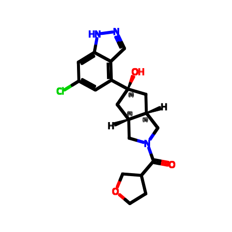 O=C(C1CCOC1)N1C[C@@H]2C[C@](O)(c3cc(Cl)cc4[nH]ncc34)C[C@@H]2C1